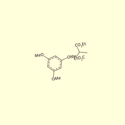 CCOC(=O)C(C)C(=O)OCC.COc1cc(OC)cc(OC)c1